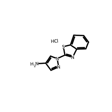 Cl.Nc1cnn(-c2nc3ccccc3s2)c1